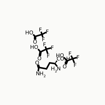 NC(=O)CC[C@H](N)C(=O)O.O=C(O)C(F)(F)F.O=C(O)C(F)(F)F.O=C(O)C(F)(F)F